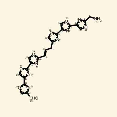 NCc1nc(-c2nc(-c3nc(C/C=C/c4nc(-c5nc(-c6nc(C=O)co6)co5)co4)co3)co2)co1